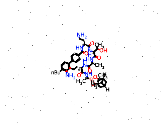 CCCCc1ccc(-c2ccc(C(=O)N[C@@H](CCN)C(=O)N[C@H](C(=O)N[C@@H](C)C(=O)N[C@@H](CCCCN)C(=O)N[C@@H](C)B3OC4C[C@@H]5C[C@@H](C5(C)C)[C@]4(C)O3)C(C)O)cc2)cc1